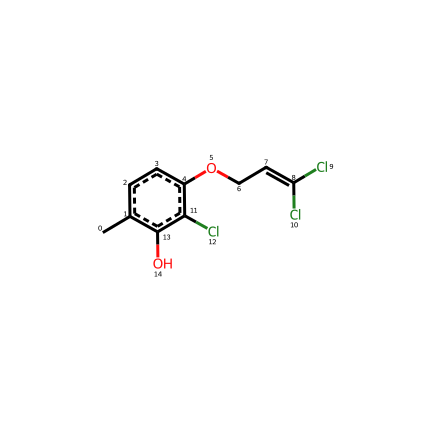 Cc1ccc(OCC=C(Cl)Cl)c(Cl)c1O